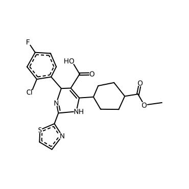 COC(=O)C1CCC(C2=C(C(=O)O)C(c3ccc(F)cc3Cl)N=C(c3nccs3)N2)CC1